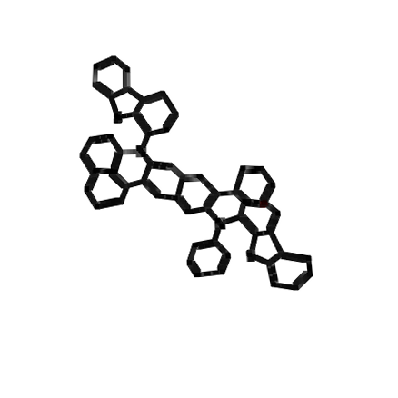 c1ccc(-c2cc3cc(N(c4ccccc4)c4cccc5c4sc4ccccc45)c(-c4ccccc4)cc3cc2N(c2ccccc2)c2cccc3c2sc2ccccc23)cc1